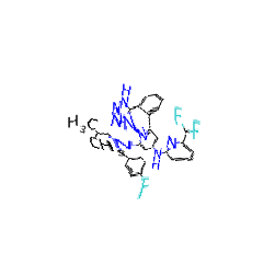 CC(C)CN(Cc1ccc(F)cc1)c1cc(Nc2cccc(C(F)F)n2)cc(-c2ccccc2-c2nnn[nH]2)n1